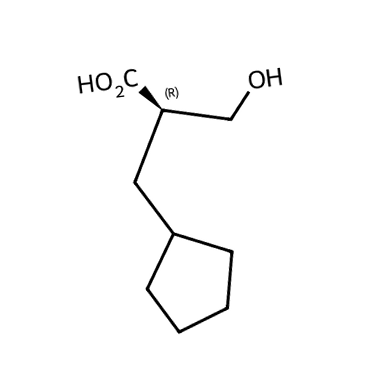 O=C(O)[C@@H](CO)CC1CCCC1